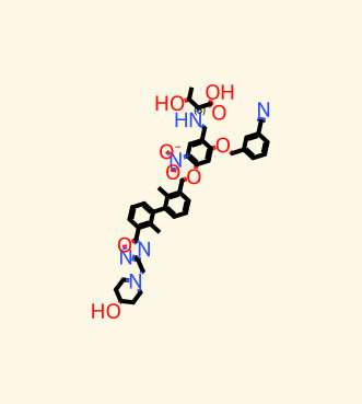 Cc1c(COc2cc(OCc3cccc(C#N)c3)c(CN[C@H](C(=O)O)C(C)O)cc2[N+](=O)[O-])cccc1-c1cccc(-c2nc(CN3CCC(O)CC3)no2)c1C